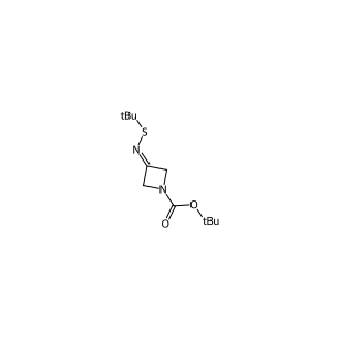 CC(C)(C)OC(=O)N1CC(=NSC(C)(C)C)C1